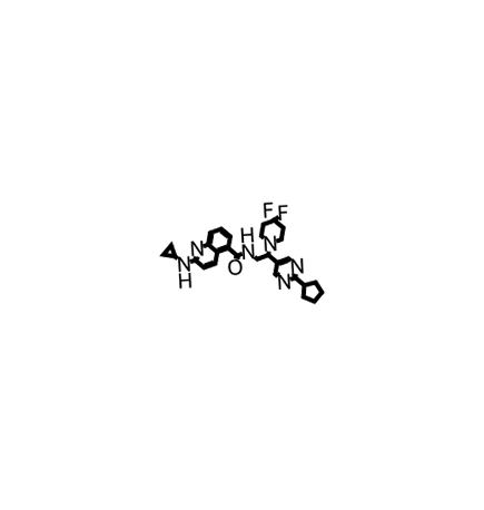 O=C(NCC(c1cnc(C2CCCC2)nc1)N1CCC(F)(F)CC1)c1cccc2nc(NC3CC3)ccc12